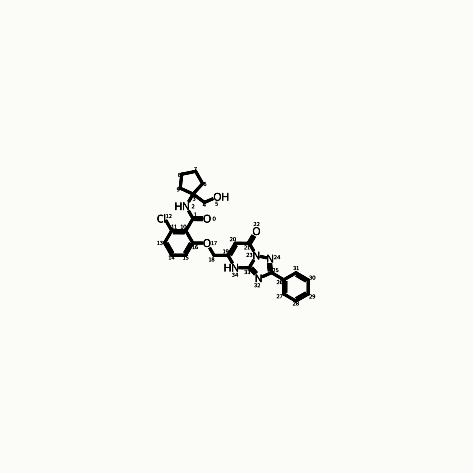 O=C(NC1(CO)CCCC1)c1c(Cl)cccc1OCc1cc(=O)n2nc(-c3ccccc3)nc2[nH]1